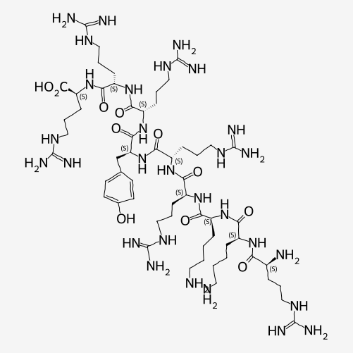 N=C(N)NCCC[C@H](NC(=O)[C@H](CCCNC(=N)N)NC(=O)[C@H](CCCNC(=N)N)NC(=O)[C@H](Cc1ccc(O)cc1)NC(=O)[C@H](CCCNC(=N)N)NC(=O)[C@H](CCCNC(=N)N)NC(=O)[C@H](CCCCN)NC(=O)[C@H](CCCCN)NC(=O)[C@@H](N)CCCNC(=N)N)C(=O)O